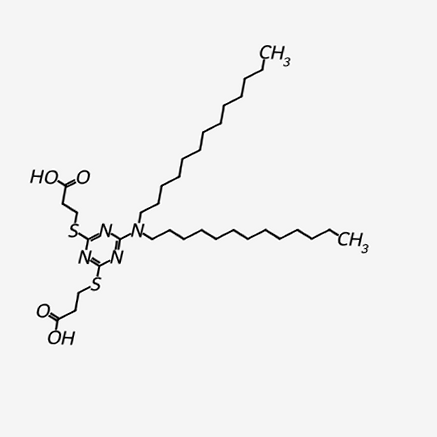 CCCCCCCCCCCCCN(CCCCCCCCCCCCC)c1nc(SCCC(=O)O)nc(SCCC(=O)O)n1